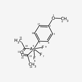 COc1cc[c]([Ag]([F])([F])([F])([C](C)=O)[C](C)=O)cc1